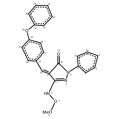 COONC1=NN(c2ccccc2)C(=O)/C1=C\c1ccc(Oc2ccccc2)cc1